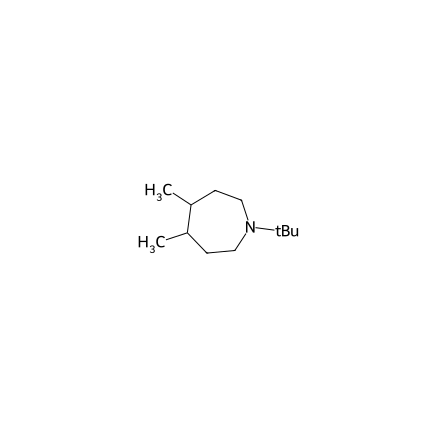 CC1CCN(C(C)(C)C)CCC1C